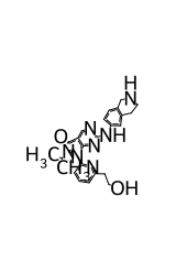 CC(C)n1c(=O)c2cnc(Nc3ccc4c(c3)CCNC4)nc2n1-c1cccc(CCO)n1